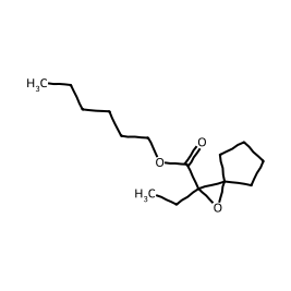 CCCCCCOC(=O)C1(CC)OC12CCCC2